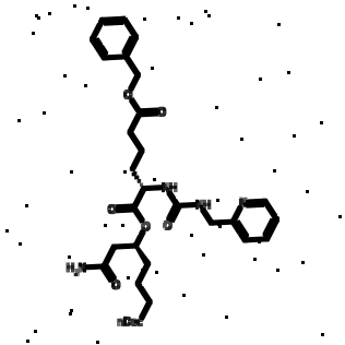 CCCCCCCCCCCCC[C@@H](CC(N)=O)OC(=O)[C@H](CCCC(=O)OCc1ccccc1)NC(=O)NCc1ccccn1